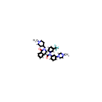 CN1CCC(CN2C(=O)c3ccccc3[C@H](C(=O)Nc3cccc(N4CCN(C)CC4)c3)[C@@H]2c2ccc(C(F)(F)F)cc2)CC1